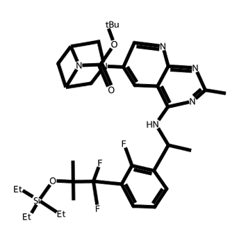 CC[Si](CC)(CC)OC(C)(C)C(F)(F)c1cccc(C(C)Nc2nc(C)nc3ncc(N4CC5CC(C4)N5C(=O)OC(C)(C)C)cc23)c1F